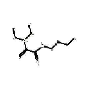 C=C(C(=O)OCCCC)N(CC)CC